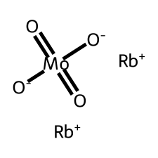 [O]=[Mo](=[O])([O-])[O-].[Rb+].[Rb+]